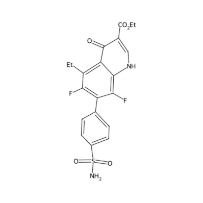 CCOC(=O)c1c[nH]c2c(F)c(-c3ccc(S(N)(=O)=O)cc3)c(F)c(CC)c2c1=O